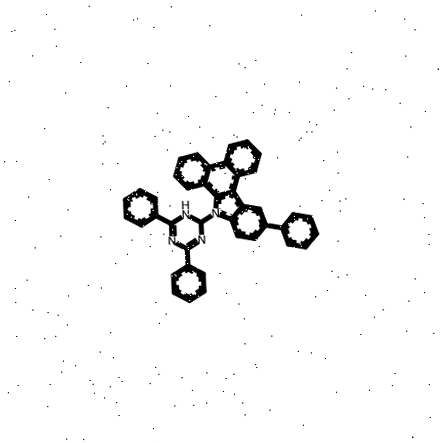 c1ccc(C2=NC(n3c4ccc(-c5ccccc5)cc4c4c5ccccc5c5ccccc5c43)NC(c3ccccc3)=N2)cc1